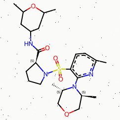 Cc1ccc(S(=O)(=O)N2CCC[C@H]2C(=O)NC2CC(C)OC(C)C2)c(N2[C@@H](C)COC[C@@H]2C)n1